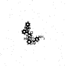 C[C@]1(NC(=O)c2ccc(N)cn2)CCC[C@@H](Nc2ncc(Cl)c(-c3cn(S(=O)(=O)c4ccccc4)c4ccccc34)n2)C1